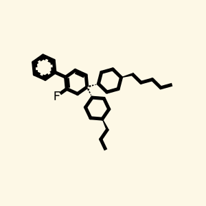 CCCCC[C@H]1CC[C@H](C2([C@H]3CC[C@H](CCC)CC3)C=CC(c3ccccc3)=C(F)C2)CC1